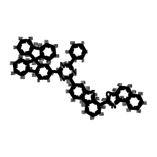 c1ccc(-c2nc(-c3ccc4c(c3)C3(c5ccccc5-c5ccccc53)c3ccccc3-4)nc(-c3ccc4c(c3)sc3c(-c5nc6c(ccc7ccccc76)o5)cccc34)n2)cc1